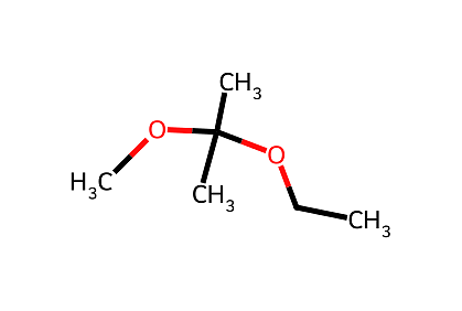 CCOC(C)(C)OC